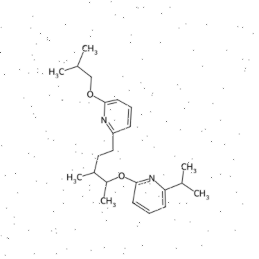 CC(C)COc1cccc(CCC(C)C(C)Oc2cccc(C(C)C)n2)n1